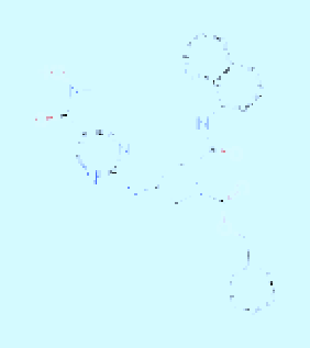 O=C(NO)c1cnc(NC2CC(C(=O)Nc3cccc4cccnc34)N(C(=O)OCc3ccccc3)C2)nc1